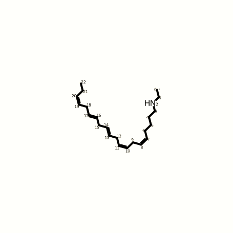 [CH2]CNCCCC/C=C\C/C=C\CC=CCC=CC/C=C\CC